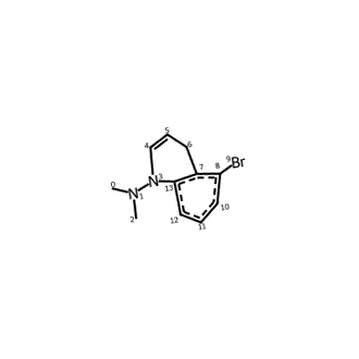 CN(C)N1C=CCc2c(Br)cccc21